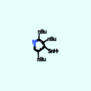 CCCCc1cnc(CCCC)c(CCCC)[c]1[SnH]